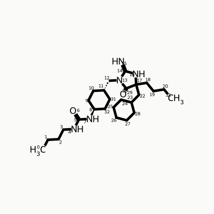 CCCCNC(=O)N[C@H]1CC[C@H](CN2C(=N)NC(CCCC)(CC3CCCCC3)C2=O)CC1